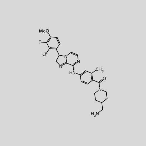 COc1ccc(C2CN=C3C(Nc4ccc(C(=O)N5CCC(CN)CC5)c(C)c4)=NC=CN32)c(Cl)c1F